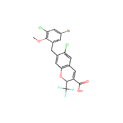 COc1c(Cl)cc(Br)cc1Cc1cc2c(cc1Cl)C=C(C(=O)O)C(C(F)(F)F)O2